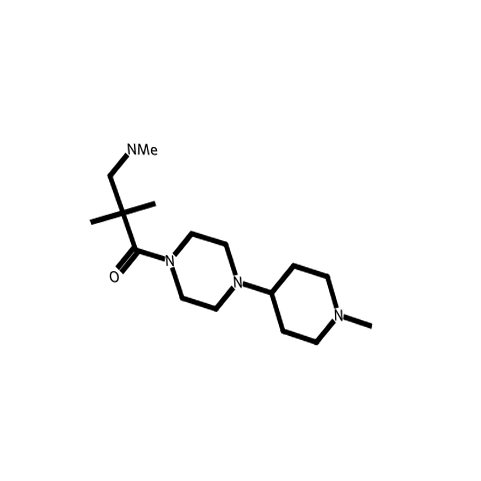 CNCC(C)(C)C(=O)N1CCN(C2CCN(C)CC2)CC1